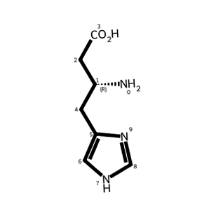 N[C@@H](CC(=O)O)Cc1c[nH]cn1